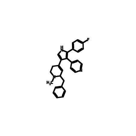 CN1CCC(c2c[nH]c(-c3ccc(F)cc3)c2-c2ccncc2)=CC1Cc1ccccc1